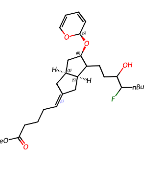 CCCCC(F)C(O)CCC1[C@H]2C/C(=C/CCCC(=O)OC)C[C@H]2C[C@H]1O[C@@H]1C=CC=CO1